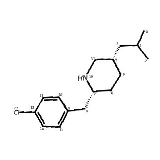 CC(C)C[C@@H]1CC[C@H](Cc2ccc(Cl)cc2)NC1